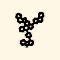 c1ccc(N(c2ccc(-c3ccc4c(ccc5ccccc54)c3)cc2)c2ccc(-c3cccc4sc5ccccc5c34)cc2)c(-c2cccc3oc4c5ccccc5ccc4c23)c1